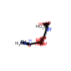 CN(C)c1ccc(/N=N/c2ccc(C(=O)NCCCCCCCCCC(=O)OCC3O[C@H](O[C@H]4OC(COC(=O)CCCCCCCCCNC(=S)Nc5ccc(-c6c7ccc(=O)cc-7oc7cc(O)ccc67)c(C(=O)O)c5)[C@@H](O)C(O)C4O)C(O)C(O)[C@@H]3O)cc2)cc1